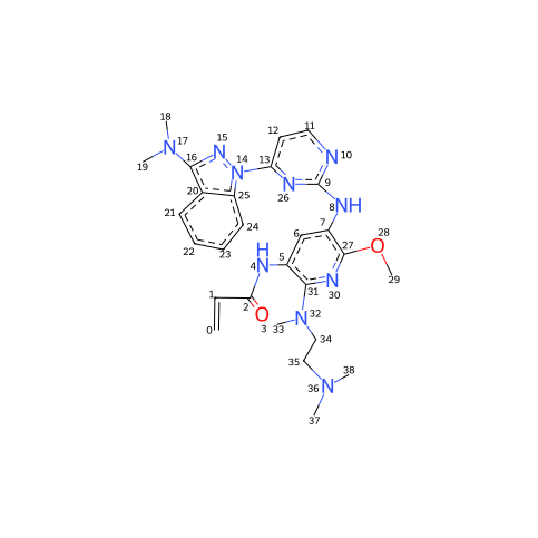 C=CC(=O)Nc1cc(Nc2nccc(-n3nc(N(C)C)c4ccccc43)n2)c(OC)nc1N(C)CCN(C)C